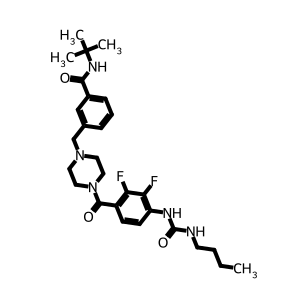 CCCCNC(=O)Nc1ccc(C(=O)N2CCN(Cc3cccc(C(=O)NC(C)(C)C)c3)CC2)c(F)c1F